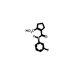 O=C(O)C1=C(C(=O)N(F)c2cccc(F)c2)CCC1